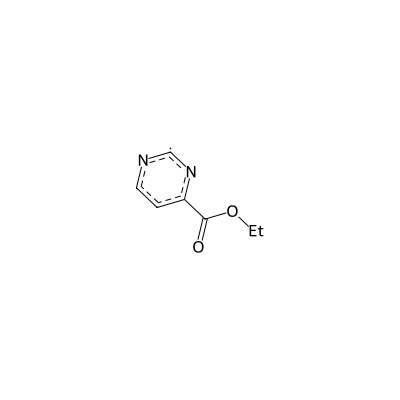 CCOC(=O)c1ccn[c]n1